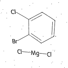 Clc1cc[c]cc1Br.[Cl][Mg][Cl]